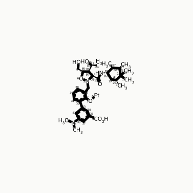 CCOc1c(CN2O[C@@H](CO)[C@@H]([C@H](C)O)[C@H]2C(=O)N[C@H]2C[C@@H](C)C(C)(C)[C@@H](C)[C@@H]2C)cccc1-c1cc(C(=O)O)cc(N(C)C)c1